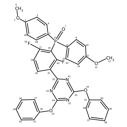 COc1ccc(P(=O)(c2ccc(OC)cc2)c2c(F)ccc(-c3nc(Oc4ccccc4)nc(Oc4ccccc4)n3)c2F)cc1